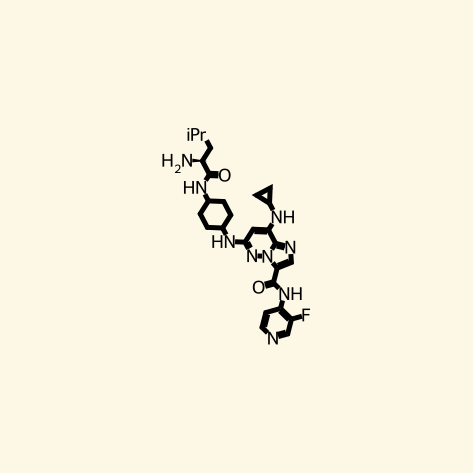 CC(C)C[C@H](N)C(=O)NC1CCC(Nc2cc(NC3CC3)c3ncc(C(=O)Nc4ccncc4F)n3n2)CC1